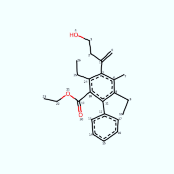 C=C(CCO)c1c(C)c(CC)c(-c2ccccc2)c(C(=O)OCC)c1CC